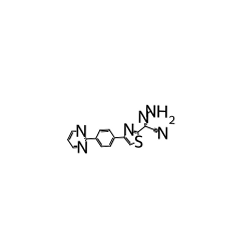 N#CC(=NN)c1nc(-c2ccc(-c3ncccn3)cc2)cs1